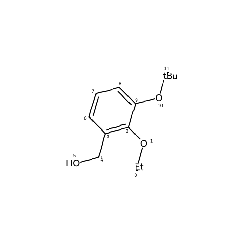 CCOc1c([CH]O)cccc1OC(C)(C)C